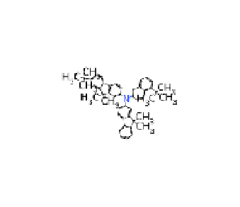 CC(C)(C)c1ccc2c(c1)C(C)(C)c1cc(N(c3ccc4c(c3)C(C)(C)c3ccccc3-4)c3ccc4c(C(C)(C)C)cccc4c3)ccc1-2